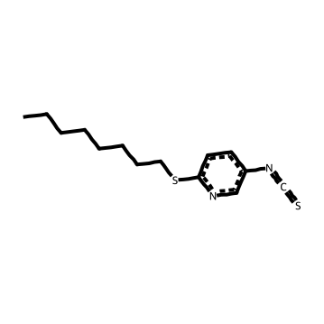 CCCCCCCCSc1ccc(N=C=S)cn1